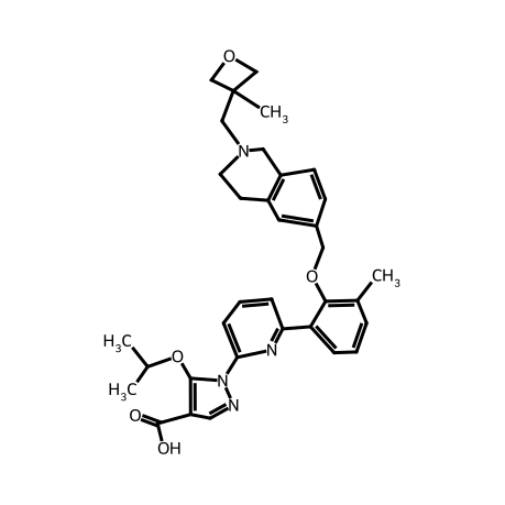 Cc1cccc(-c2cccc(-n3ncc(C(=O)O)c3OC(C)C)n2)c1OCc1ccc2c(c1)CCN(CC1(C)COC1)C2